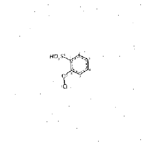 O=S(=O)(O)c1ccccc1OCl